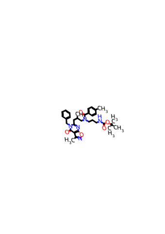 Cc1ccc(C(=O)N(CCCNC(=O)OC(C)(C)C)CC(C)Cc2nc3onc(C)c3c(=O)n2Cc2ccccc2)cc1